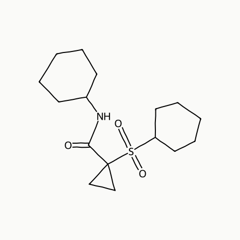 O=C(NC1CCCCC1)C1(S(=O)(=O)C2CCCCC2)CC1